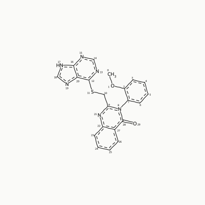 COc1ccccc1-n1c(CSc2ncnc3[nH]cnc23)nc2ccccc2c1=O